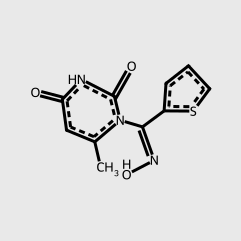 Cc1cc(=O)[nH]c(=O)n1/C(=N\O)c1cccs1